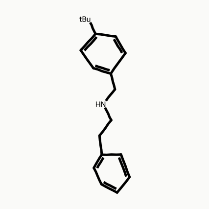 CC(C)(C)c1ccc(CNCCc2ccccc2)cc1